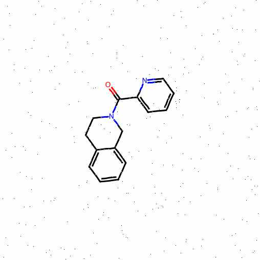 O=C(c1ccccn1)N1CCc2ccccc2C1